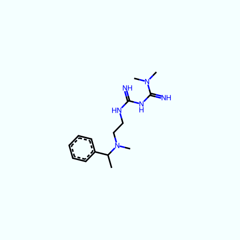 CC(c1ccccc1)N(C)CCNC(=N)NC(=N)N(C)C